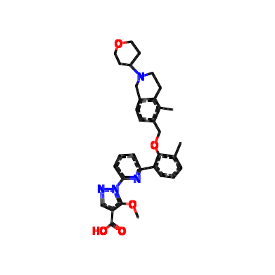 COc1c(C(=O)O)cnn1-c1cccc(-c2cccc(C)c2OCc2ccc3c(c2C)CCN(C2CCOCC2)C3)n1